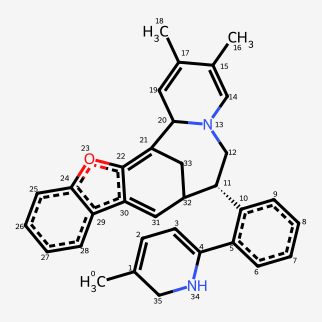 CC1=CC=C(c2ccccc2[C@H]2CN3C=C(C)C(C)=CC3C3=c4oc5ccccc5c4=CC2C3)NC1